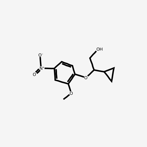 COc1cc([N+](=O)[O-])ccc1OC(CO)C1CC1